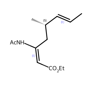 C/C=C/[C@@H](C)C/C(=C\C(=O)OCC)NC(C)=O